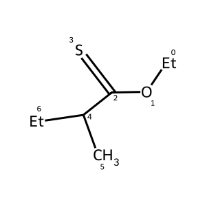 CCOC(=S)C(C)CC